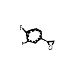 Fc1ccc([C@H]2CO2)cc1F